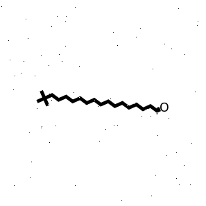 CC(C)(C)CCCCCCCCCCCCCCC[C]=O